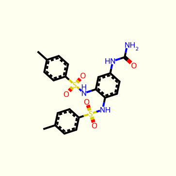 Cc1ccc(S(=O)(=O)Nc2ccc(NC(N)=O)cc2NS(=O)(=O)c2ccc(C)cc2)cc1